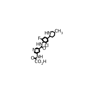 CC1CCC(c2cc(F)c(NC(=O)c3cncc(NC(=O)C(=O)O)c3)c(Cl)c2)NC1